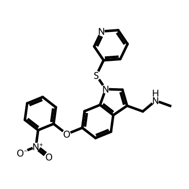 CNCc1cn(Sc2cccnc2)c2cc(Oc3ccccc3[N+](=O)[O-])ccc12